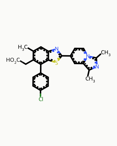 Cc1cc2nc(-c3ccn4c(C)nc(C)c4c3)sc2c(-c2ccc(Cl)cc2)c1CC(=O)O